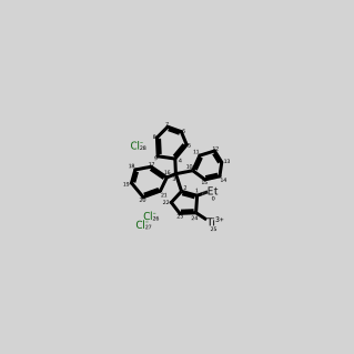 CCC1=C(C(c2ccccc2)(c2ccccc2)c2ccccc2)CC=[C]1[Ti+3].[Cl-].[Cl-].[Cl-]